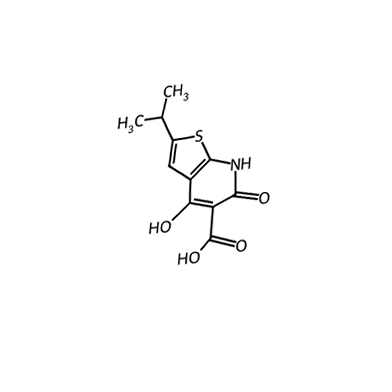 CC(C)c1cc2c(O)c(C(=O)O)c(=O)[nH]c2s1